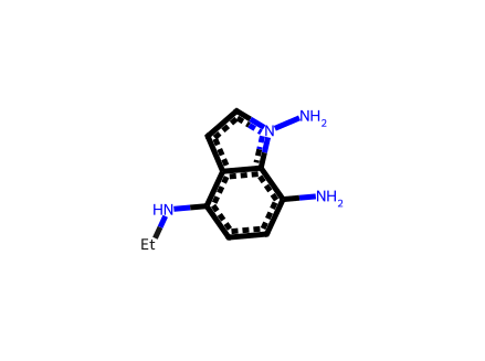 CCNc1ccc(N)c2c1ccn2N